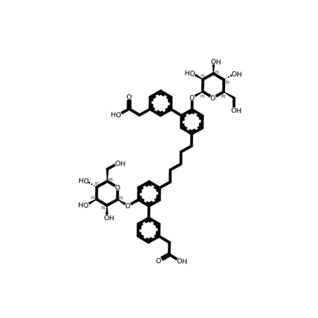 O=C(O)Cc1cccc(-c2cc(CCCCCc3ccc(O[C@@H]4O[C@H](CO)[C@@H](O)[C@H](O)[C@@H]4O)c(-c4cccc(CC(=O)O)c4)c3)ccc2O[C@@H]2O[C@H](CO)[C@@H](O)[C@H](O)[C@@H]2O)c1